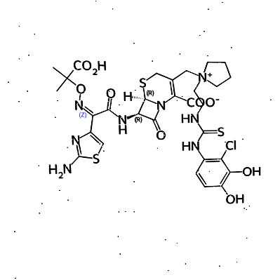 CC(C)(O/N=C(\C(=O)N[C@@H]1C(=O)N2C(C(=O)[O-])=C(C[N+]3(CCNC(=S)Nc4ccc(O)c(O)c4Cl)CCCC3)CS[C@H]12)c1csc(N)n1)C(=O)O